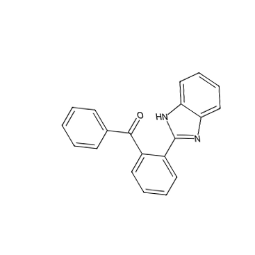 O=C(c1ccccc1)c1ccccc1-c1nc2ccccc2[nH]1